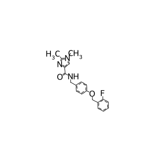 Cc1nc(C(=O)NCc2ccc(OCc3ccccc3F)cc2)cn1C